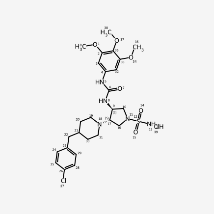 COc1cc(NC(=O)N[C@H]2CN(S(N)(=O)=O)C[C@@H]2N2CCC(Cc3ccc(Cl)cc3)CC2)cc(OC)c1OC.Cl